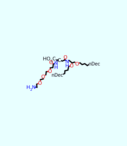 CCCCCCCCCCCCCCOCC(CNC(=O)CC[C@H](NC(=O)CCOCCOCCOCCN)C(=O)O)OCCCCCCCCCCCCCC